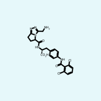 NCc1nnc2n1C(C(=O)N[C@@H](Cc1ccc(NC(=O)c3c(Cl)cccc3Cl)cc1)C(=O)O)CC2